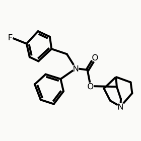 O=C(OC1CN2CCC1CC2)N(Cc1ccc(F)cc1)c1ccccc1